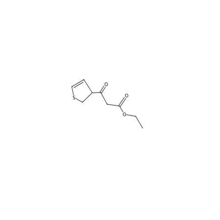 CCOC(=O)CC(=O)C1C=CSC1